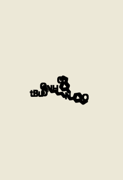 CC(C)(C)OC(=O)NCCCCCN(Cc1ccc2occc2c1)Cc1ccc2occc2c1